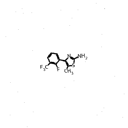 Cc1sc(N)nc1-c1cccc(C(F)(F)F)c1F